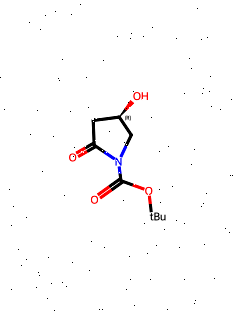 CC(C)(C)OC(=O)N1C[C@H](O)CC1=O